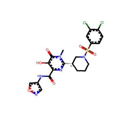 Cn1c([C@H]2CCCN(S(=O)(=O)c3ccc(Cl)c(Cl)c3)C2)nc(C(=O)Nc2cnoc2)c(O)c1=O